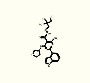 CCC(C)(O)CONC(=O)c1c(N)nc(-c2cccc3[nH]ccc23)nc1O[C@H]1CCOC1